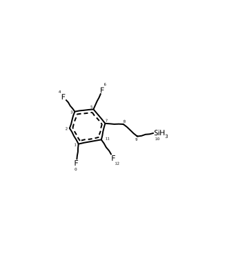 Fc1cc(F)c(F)c(CC[SiH3])c1F